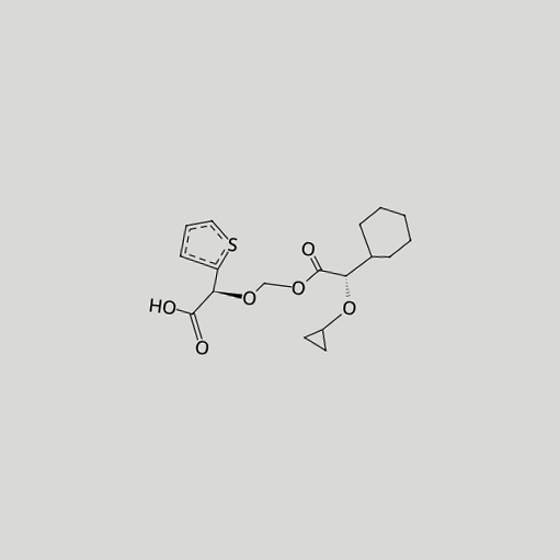 O=C(OCO[C@@H](C(=O)O)c1cccs1)[C@@H](OC1CC1)C1CCCCC1